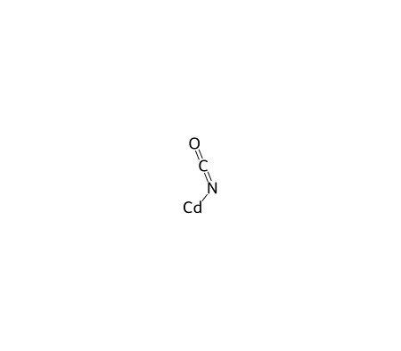 O=C=[N][Cd]